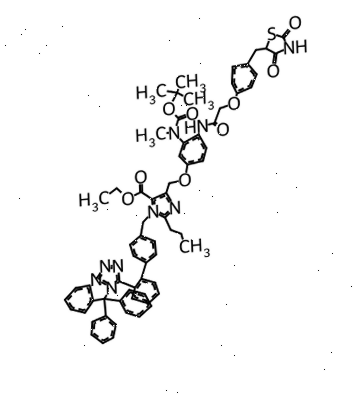 CCCc1nc(COc2ccc(NC(=O)COc3ccc(CC4SC(=O)NC4=O)cc3)c(N(C)C(=O)OC(C)(C)C)c2)c(C(=O)OCC)n1Cc1ccc(-c2ccccc2-c2nnnn2C(c2ccccc2)(c2ccccc2)c2ccccc2)cc1